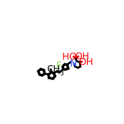 Cc1c(/C=C/c2ccc(CN3CCCC(O)C3C(O)O)cc2F)cccc1-c1ccccc1